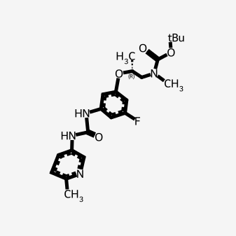 Cc1ccc(NC(=O)Nc2cc(F)cc(O[C@H](C)CN(C)C(=O)OC(C)(C)C)c2)cn1